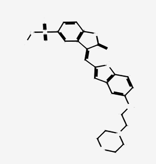 CCCNS(=O)(=O)c1ccc2c(c1)C(=Cc1cc3cc(OCCN4CCOCC4)ccc3[nH]1)C(=O)N2